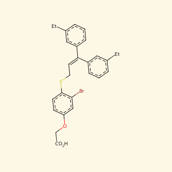 CCc1cccc(C(=CCSc2ccc(OCC(=O)O)cc2Br)c2cccc(CC)c2)c1